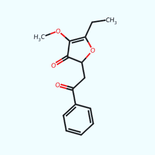 CCC1=C(OC)C(=O)C(CC(=O)c2ccccc2)O1